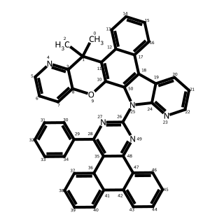 CC1(C)c2ncccc2Oc2c1c1ccccc1c1c3cccnc3n(-c3nc(-c4ccccc4)c4c5ccccc5c5ccccc5c4n3)c21